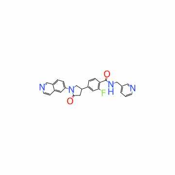 O=C(NCc1cccnc1)c1ccc(C2CC(=O)N(c3ccc4cnccc4c3)C2)cc1F